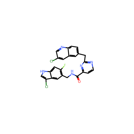 O=C(NCc1cc2c(Cl)c[nH]c2cc1F)c1ccnc(Cc2ccc3ncc(Cl)cc3c2)n1